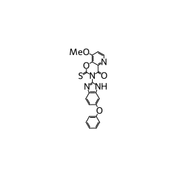 COc1ccnc2c(=O)n(-c3nc4ccc(Oc5ccccc5)cc4[nH]3)c(=S)oc12